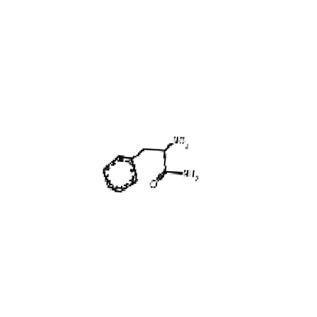 NC(=O)C(Cc1ccccc1)[N+](=O)[O-]